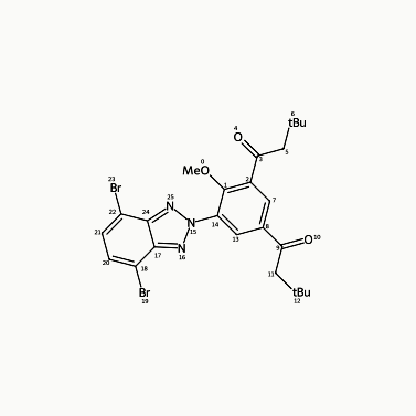 COc1c(C(=O)CC(C)(C)C)cc(C(=O)CC(C)(C)C)cc1-n1nc2c(Br)ccc(Br)c2n1